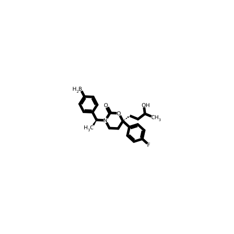 Bc1ccc([C@H](C)N2CC[C@](CCC(C)O)(c3ccc(F)cc3)OC2=O)cc1